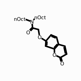 CCCCCCCCN(CCCCCCCC)C(=O)COc1ccc2ccc(=O)oc2c1